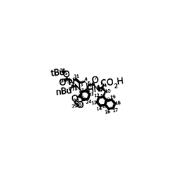 CCCCc1nc(C[C@H](C(=O)N[C@@H](Cc2cccc3ccccc23)C(=O)O)c2ccc3c(c2)OCO3)cn1C(=O)OC(C)(C)C